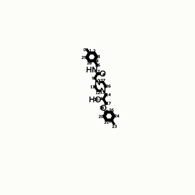 Cc1ccc(CNC(=O)CN2CCN(C[C@H](O)COc3ccc(C)cc3)CC2)cc1